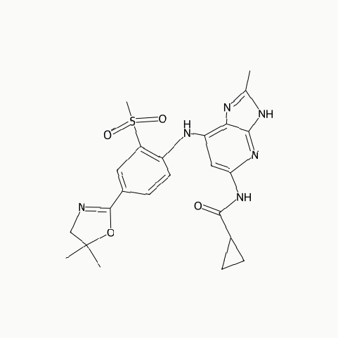 Cc1nc2c(Nc3ccc(C4=NCC(C)(C)O4)cc3S(C)(=O)=O)cc(NC(=O)C3CC3)nc2[nH]1